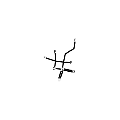 O=S1(=O)OC(F)(F)C1(F)CCF